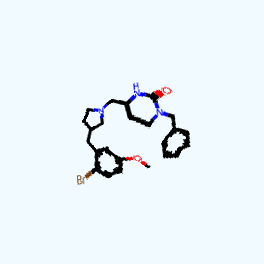 COc1ccc(Br)c(CC2CCN(CC3CCN(Cc4ccccc4)C(=O)N3)C2)c1